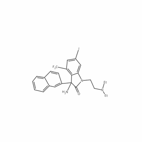 CCN(CC)CCN1C(=O)C(N)(c2ccc3ccccc3c2)c2c1cc(I)cc2C(F)(F)F